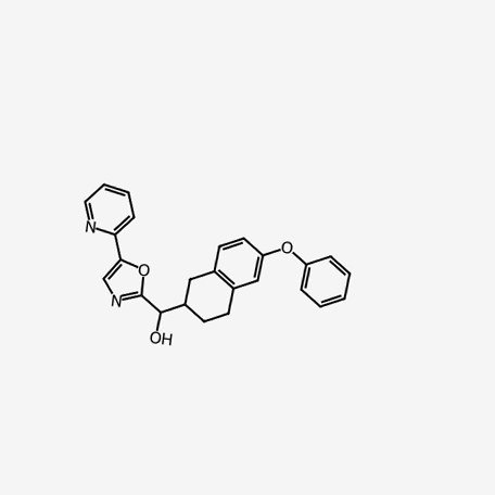 OC(c1ncc(-c2ccccn2)o1)C1CCc2cc(Oc3ccccc3)ccc2C1